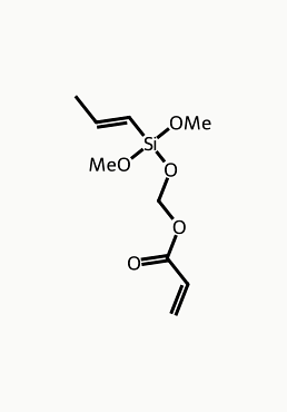 C=CC(=O)OCO[Si](C=CC)(OC)OC